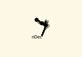 Br.CCCCCCCCCCCCCCCCCCOc1cn(-c2ccc(OCc3ccccc3)cc2)c(CBr)cc1=O